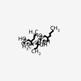 C=CCC(=O)O.CCCCC(CC)CP(=O)(O)O.CCCCC(CC)CP(=O)(O)O